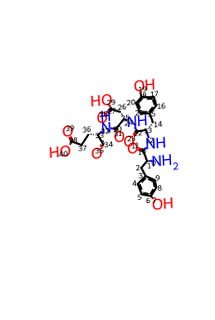 N[C@@H](Cc1ccc(O)cc1)C(=O)N[C@@H](Cc1ccc(O)cc1)C(=O)N[C@@H](CC(=O)O)C(=O)N[C@H]([C]=O)CCC(=O)O